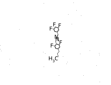 CCCCc1cc(F)c(C=NN=Cc2cc(F)c(F)c(F)c2)c(F)c1